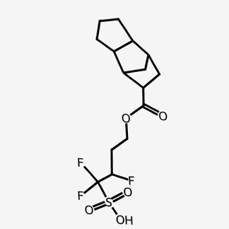 O=C(OCCC(F)C(F)(F)S(=O)(=O)O)C1CC2CC1C1CCCC21